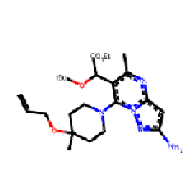 C=CCOC1(C)CCN(c2c(C(OC(C)(C)C)C(=O)OCC)c(C)nc3cc(N)nn23)CC1